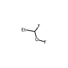 CCC(F)OF